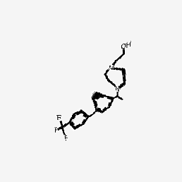 CC(c1ccc(-c2ccc(C(F)(F)F)cc2)cc1)N1CCN(CCO)CC1